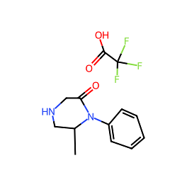 CC1CNCC(=O)N1c1ccccc1.O=C(O)C(F)(F)F